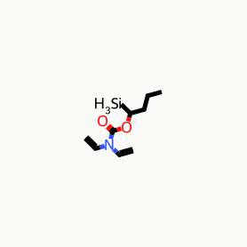 C=CN(C=C)C(=O)OC([SiH3])CCC